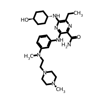 CCc1nc(C(N)=O)c(Nc2cccc(N(C)CCN3CCN(C)CC3)c2)nc1N[C@H]1CC[C@H](O)CC1